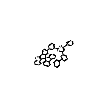 c1ccc(-c2cccc(-c3cc(-c4ccccc4)nc(-c4cccc(-c5ccc6c(c5)C5(c7ccccc7-c7ccccc75)c5c-6oc6ccccc56)c4)n3)c2)cc1